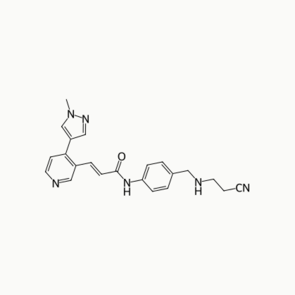 Cn1cc(-c2ccncc2C=CC(=O)Nc2ccc(CNCCC#N)cc2)cn1